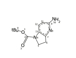 CC(C)(C)OC(=O)N1CCc2nc(N)ccc21